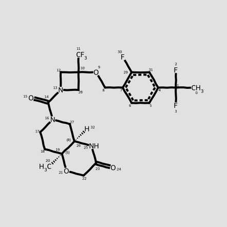 CC(F)(F)c1ccc(COC2(C(F)(F)F)CN(C(=O)N3CC[C@]4(C)OCC(=O)N[C@@H]4C3)C2)c(F)c1